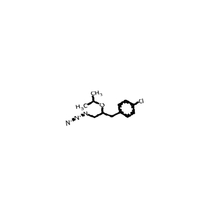 CC(C)OC(CN=[N+]=[N-])Cc1ccc(Cl)cc1